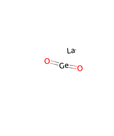 [La].[O]=[Ge]=[O]